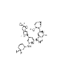 COc1ccncc1-c1cc2c(cnn2-c2cc(N3C[C@H](CS(C)(=O)=O)[C@H]3C)cc(NC3CCCC(F)(F)C3)n2)c(C)n1